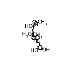 Cc1csc([C@@H](O)CCC[C@H](C)[C@H]2CC[C@H]3/C(=C/C=C4C[C@@H](O)C[C@H](O)C4)CCC[C@]23C)n1